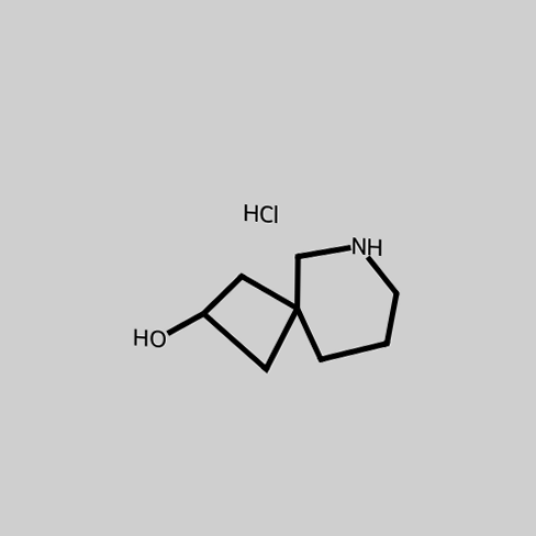 Cl.OC1CC2(CCCNC2)C1